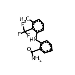 Cc1cccc(Nc2ccccc2C(N)=O)c1C(F)(F)F